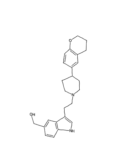 OCc1ccc2[nH]cc(CCN3CCC(c4ccc5c(c4)CCCO5)CC3)c2c1